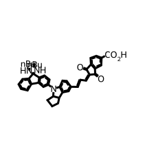 CCCCNC1(NCCCC)c2ccccc2-c2cc(N3c4ccc(/C=C/C=C5\C(=O)c6ccc(C(=O)O)cc6C5=O)cc4C4CCCC43)ccc21